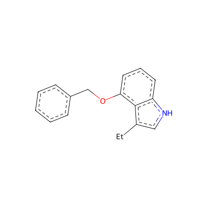 [CH2]Cc1c[nH]c2cccc(OCc3ccccc3)c12